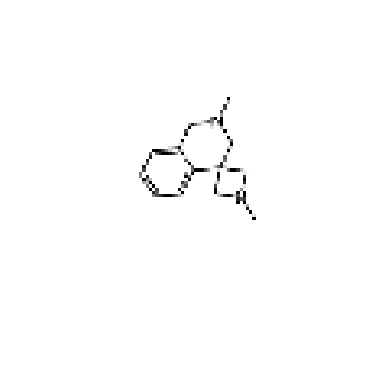 CN1Cc2ccccc2C2(C1)CN(C)C2